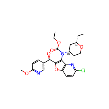 CCOC(=O)N(c1c(C(=O)c2ccc(OC)nc2)oc2ccc(Cl)nc12)[C@H]1CCO[C@@H](CC)C1